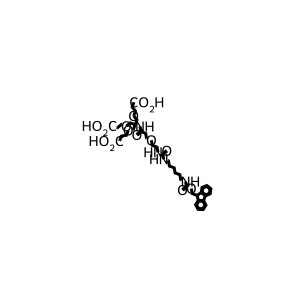 O=C(O)CCOCC(COCCC(=O)O)(COCCC(=O)O)NC(=O)CCOCCNC(=O)NCCCCCCNC(=O)OCC1c2ccccc2-c2ccccc21